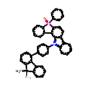 CC1(C)c2ccccc2-c2c(-c3ccc(-n4c5ccccc5c5ccc6c(c54)-c4ccccc4P6(=O)c4ccccc4)cc3)cccc21